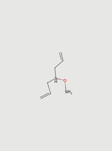 C=CC[SiH](CC=C)O[SiH3]